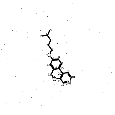 CC(C)CCCOc1ccc2c(c1)COc1cnccc1-2